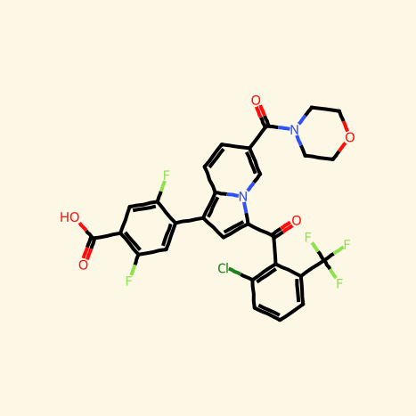 O=C(O)c1cc(F)c(-c2cc(C(=O)c3c(Cl)cccc3C(F)(F)F)n3cc(C(=O)N4CCOCC4)ccc23)cc1F